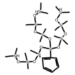 C[SiH](C)O[Si](C)(C)O[Si](C)(C)O[Si](O[Si](C)(C)O[Si](C)(C)O[SiH](C)C)(O[Si](C)(C)O[Si](C)(C)O[SiH](C)C)c1ccccc1